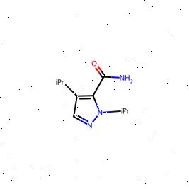 CC(C)c1cnn(C(C)C)c1C(N)=O